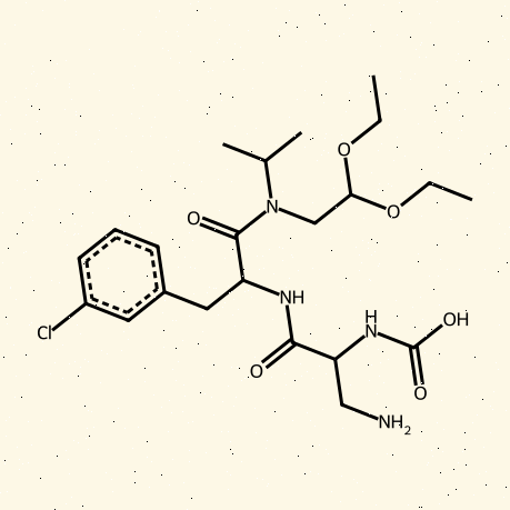 CCOC(CN(C(=O)C(Cc1cccc(Cl)c1)NC(=O)C(CN)NC(=O)O)C(C)C)OCC